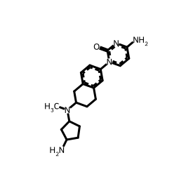 CN(C1CCc2cc(-n3ccc(N)nc3=O)ccc2C1)C1CCC(N)C1